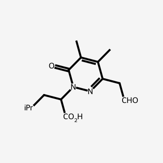 Cc1c(CC=O)nn(C(CC(C)C)C(=O)O)c(=O)c1C